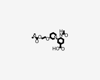 CC(=O)N[C@@H]1CCC(C(=O)O)=C[C@H]1N1CCC[C@H](OCCOC(=O)N(C)C)C1